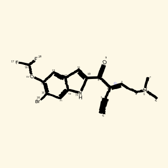 C#C/C(=C\CN(C)C)C(=O)c1cc2cc(OC(F)F)c(Br)cc2[nH]1